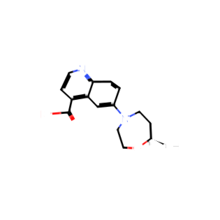 C[C@@H]1CCN(c2ccc3nccc(C(=O)O)c3c2)CCO1